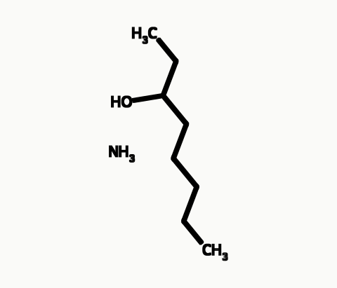 CCCCCC(O)CC.N